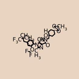 Cc1nc(C(=O)NC[C@]2(O)CC[C@@H](S(C)(=O)=O)CC2)c(C#N)n1-c1ccc(CC(C)(C)C(F)(F)F)cc1OC(F)F